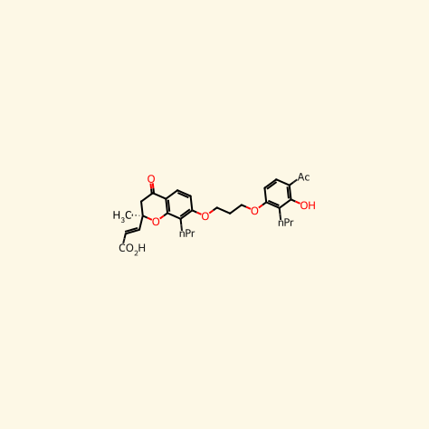 CCCc1c(OCCCOc2ccc3c(c2CCC)O[C@@](C)(/C=C/C(=O)O)CC3=O)ccc(C(C)=O)c1O